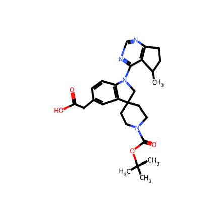 CC1CCc2ncnc(N3CC4(CCN(C(=O)OC(C)(C)C)CC4)c4cc(CC(=O)O)ccc43)c21